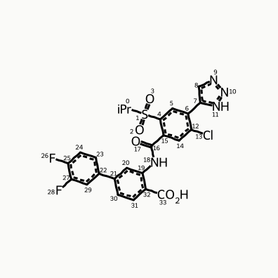 CC(C)S(=O)(=O)c1cc(-c2cnn[nH]2)c(Cl)cc1C(=O)Nc1cc(-c2ccc(F)c(F)c2)ccc1C(=O)O